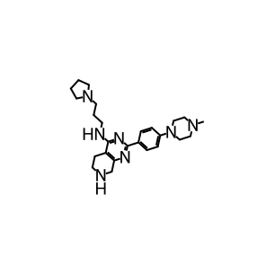 CN1CCN(c2ccc(-c3nc4c(c(NCCCN5CCCC5)n3)CCNC4)cc2)CC1